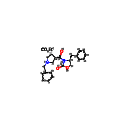 CCOC(=O)[C@H]1CN(Cc2ccccc2)C[C@@H]1C(=O)N1C(=O)OC[C@@H]1Cc1ccccc1